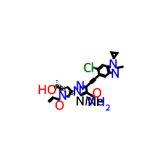 C=CC(=O)N1C[C@@H](n2nc(C#Cc3cc4nc(C)n(C5CC5)c4cc3Cl)c(C(N)=O)c2NC)C[C@@H]1[C@@H](C)O